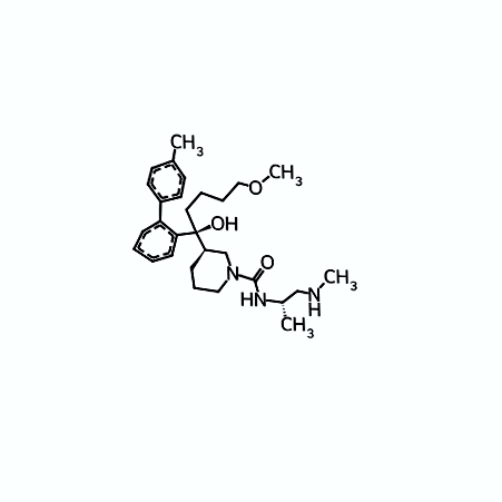 CNC[C@H](C)NC(=O)N1CCC[C@@H]([C@@](O)(CCCCOC)c2ccccc2-c2ccc(C)cc2)C1